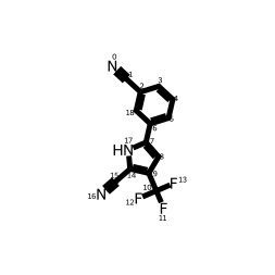 N#Cc1cccc(-c2cc(C(F)(F)F)c(C#N)[nH]2)c1